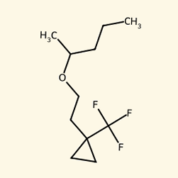 CCCC(C)OCCC1(C(F)(F)F)CC1